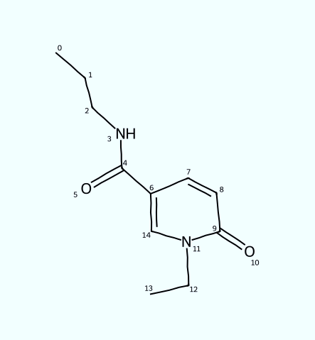 CCCNC(=O)c1ccc(=O)n(CC)c1